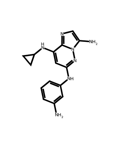 Nc1cccc(Nc2cc(NC3CC3)c3ncc(N)n3n2)c1